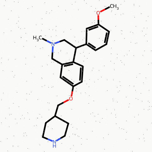 COc1cccc(C2CN(C)Cc3cc(OCC4CCNCC4)ccc32)c1